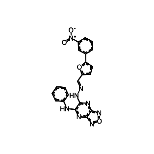 O=[N+]([O-])c1cccc(-c2ccc(C=NNc3nc4nonc4nc3Nc3ccccc3)o2)c1